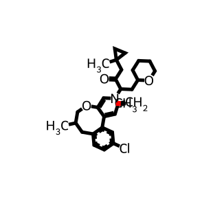 C=C/C=C1\C(=C/N(C)C(CC2CCCCO2)C(=O)CC2(C)CC2)OCC(C)Cc2ccc(Cl)cc21